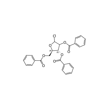 O=C(OC[C@H]1OC(Cl)C(OC(=O)c2ccccc2)[C@@H]1OC(=O)c1ccccc1)c1ccccc1